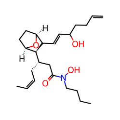 C=CCCC(O)/C=C/C1[C@@H]([C@@H](C/C=C\C)CC(=O)N(O)CCCC)[C@H]2CC[C@@H]1O2